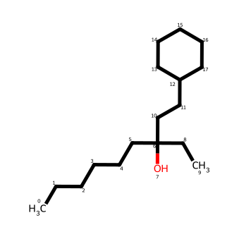 CCCCCCC(O)(CC)CCC1CCCCC1